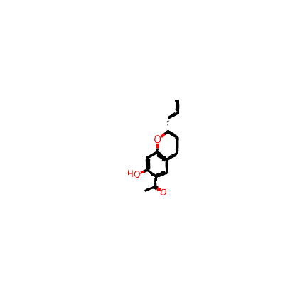 C=CC[C@@H]1CCc2cc(C(C)=O)c(O)cc2O1